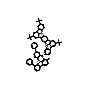 Cc1ccc(-c2ccccc2)cc1N(c1ccc2c3cc(C(C)(C)C)cc4c3n(c2c1)C1=Cc2c(n3c5ccc(C(C)(C)C)cc5c5cc(C(C)(C)C)cc2c53)CC14)c1c(C)ccc2c1oc1c(-c3ccccc3)cccc12